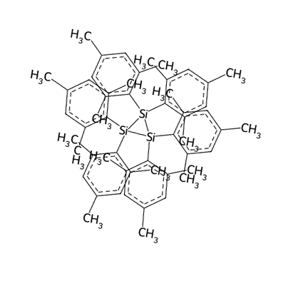 Cc1cc(C)c([Si]2(c3c(C)cc(C)cc3C)[Si](c3c(C)cc(C)cc3C)(c3c(C)cc(C)cc3C)[Si]2(c2c(C)cc(C)cc2C)c2c(C)cc(C)cc2C)c(C)c1